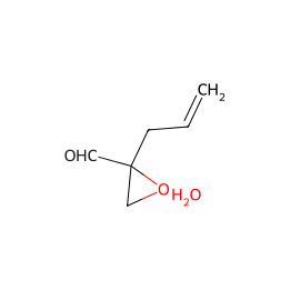 C=CCC1(C=O)CO1.O